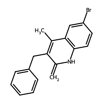 C=C1Nc2ccc(Br)cc2C(C)=C1Cc1ccccc1